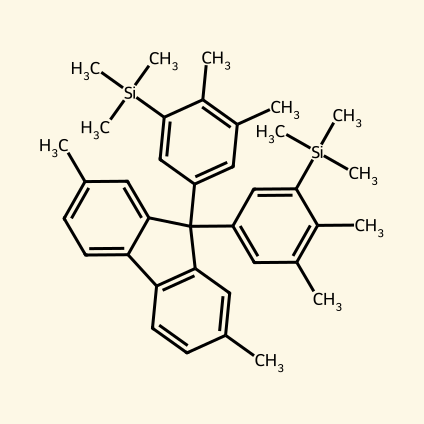 Cc1ccc2c(c1)C(c1cc(C)c(C)c([Si](C)(C)C)c1)(c1cc(C)c(C)c([Si](C)(C)C)c1)c1cc(C)ccc1-2